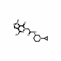 CC(C)c1nn(CC(=O)N[C@@H]2CCCN(C3CC3)C2)c(=O)c2c1cnn2C